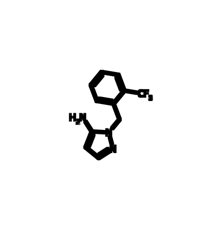 Nc1ccnn1Cc1ccccc1C(F)(F)F